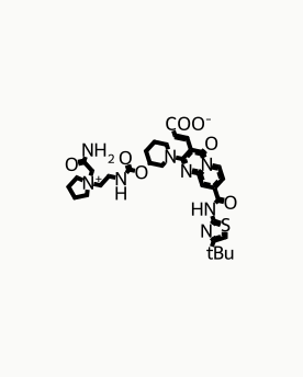 CC(C)(C)c1csc(NC(=O)c2ccn3c(=O)c(/C=C/C(=O)[O-])c(N4CCC[C@@H](OC(=O)NCC[N+]5(CC(N)=O)CCCC5)C4)nc3c2)n1